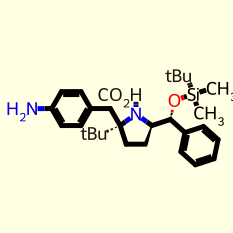 CC(C)(C)[C@@]1(Cc2ccc(N)cc2)CC[C@H]([C@H](O[Si](C)(C)C(C)(C)C)c2ccccc2)N1C(=O)O